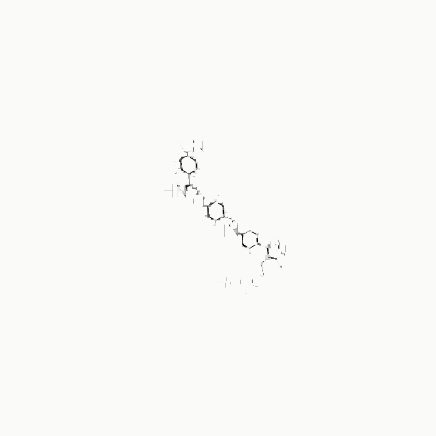 Cc1noc(-c2ccc(NCc3ccc(OCC(=N)c4ccc(C#N)cc4)cc3)cc2)c1CCC(=O)O